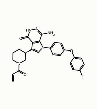 C=CC(=O)N1CCC[C@@H](c2cn(-c3ccc(Oc4ccc(F)cc4)cc3)c3c(N)n[nH]c(=O)c23)C1